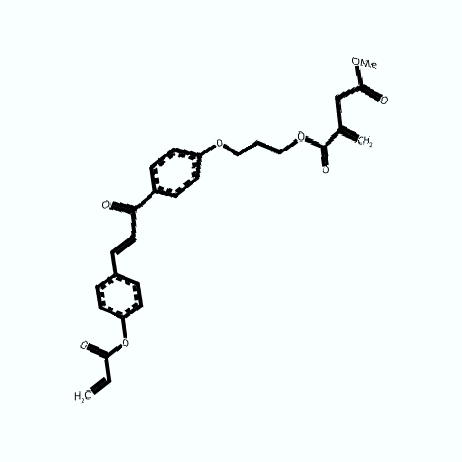 C=CC(=O)Oc1ccc(/C=C/C(=O)c2ccc(OCCCOC(=O)C(=C)CC(=O)OC)cc2)cc1